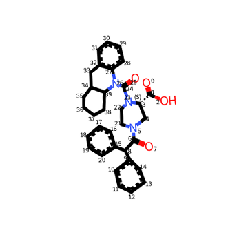 O=C(O)[C@@H]1CN(C(=O)C(c2ccccc2)c2ccccc2)CCN1C(=O)N1c2ccccc2CC2CCCCC21